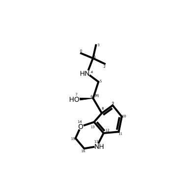 CC(C)(C)NC[C@H](O)c1cccc2c1OCCN2